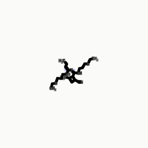 CC/C=C(\N=C(\NCCCOCC)C1C(C)CC1C#N)NCCCOCC